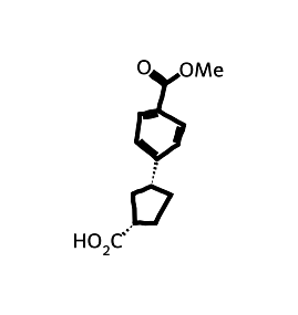 COC(=O)c1ccc([C@@H]2CC[C@H](C(=O)O)C2)cc1